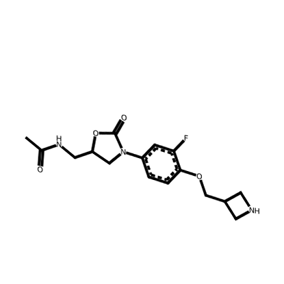 CC(=O)NCC1CN(c2ccc(OCC3CNC3)c(F)c2)C(=O)O1